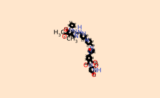 CC(=O)c1c(C)c2cnc(Nc3ccc(N4CCC(CN5CC6CCC5CN6c5ccc6c(c5)C(=O)N(C5CCC(=O)NC5=O)C6=O)CC4)cn3)nc2n(C2CCCC2)c1=O